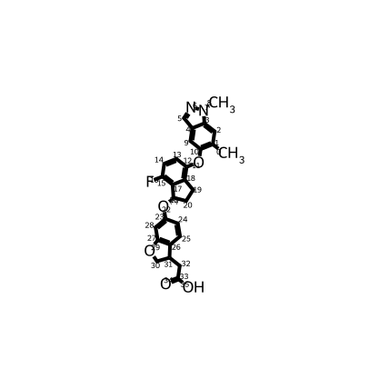 Cc1cc2c(cnn2C)cc1Oc1ccc(F)c2c1CC[C@H]2Oc1ccc2c(c1)OCC2CC(=O)O